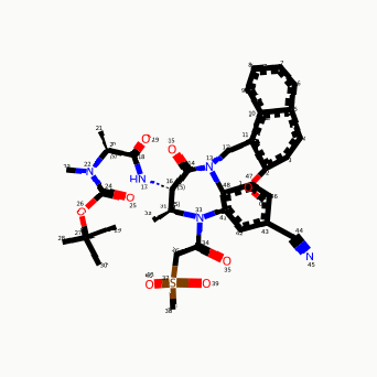 COc1ccc2ccccc2c1CN1C(=O)[C@@H](NC(=O)[C@H](C)N(C)C(=O)OC(C)(C)C)[C@H](C)N(C(=O)CS(C)(=O)=O)c2cc(C#N)ccc21